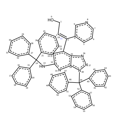 OC/C=C(\c1cccnc1)c1cc(NC(c2ccccc2)(c2ccccc2)c2ccccc2)nc2c1nnn2C(c1ccccc1)(c1ccccc1)c1ccccc1